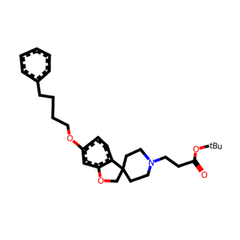 CC(C)(C)OC(=O)CCN1CCC2(CC1)COc1cc(OCCCCc3ccccc3)ccc12